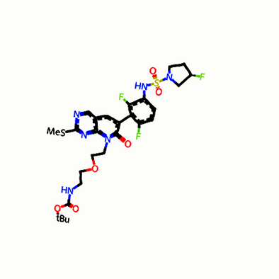 CSc1ncc2cc(-c3c(F)ccc(NS(=O)(=O)N4CC[C@@H](F)C4)c3F)c(=O)n(CCOCCNC(=O)OC(C)(C)C)c2n1